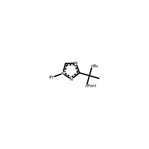 CCCCCC(C)(CCCC)c1ncn(C(C)C)n1